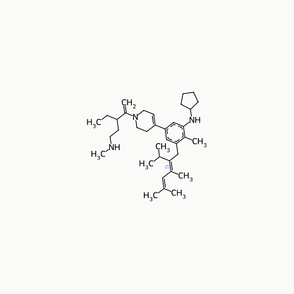 C=C(C(CC)CCNC)N1CC=C(c2cc(C/C(=C(\C)C=C(C)C)C(C)C)c(C)c(NC3CCCC3)c2)CC1